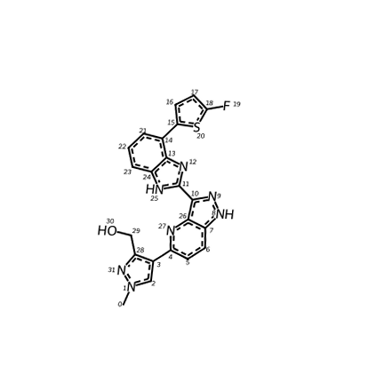 Cn1cc(-c2ccc3[nH]nc(-c4nc5c(-c6ccc(F)s6)cccc5[nH]4)c3n2)c(CO)n1